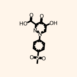 CS(=O)(=O)c1ccc(-n2cc(O)c(=O)c(C(=O)O)n2)cc1